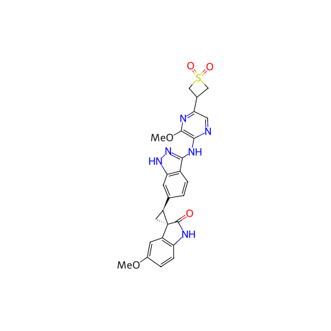 COc1ccc2c(c1)[C@]1(C[C@H]1c1ccc3c(Nc4ncc(C5CS(=O)(=O)C5)nc4OC)n[nH]c3c1)C(=O)N2